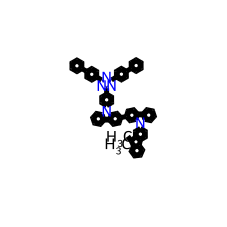 CC1(C)c2ccccc2-c2ccc(-n3c4ccccc4c4ccc(-c5ccc6c7ccccc7n(-c7ccc(-c8nc(-c9ccc(-c%10ccccc%10)cc9)nc(-c9ccc(-c%10ccccc%10)cc9)n8)cc7)c6c5)cc43)cc21